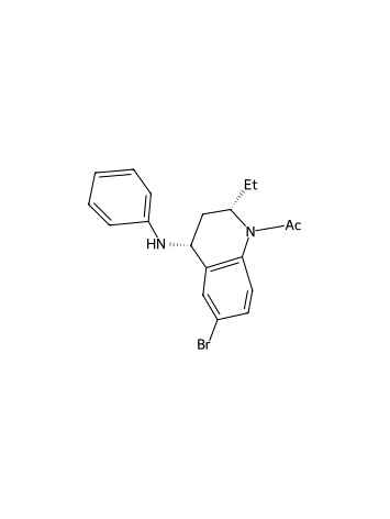 CC[C@H]1C[C@@H](Nc2ccccc2)c2cc(Br)ccc2N1C(C)=O